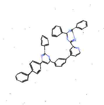 c1ccc(-c2ccc(-c3cc(-c4cccc(-c5ccnc(-c6nc(-c7ccccc7)nc(-c7ccccc7)n6)c5)c4)nc(-c4ccccc4)n3)cc2)cc1